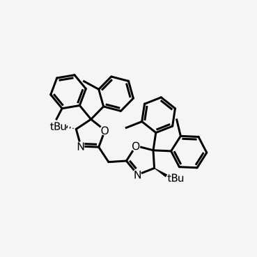 Cc1ccccc1C1(c2ccccc2C)OC(CC2=N[C@H](C(C)(C)C)C(c3ccccc3C)(c3ccccc3C)O2)=N[C@@H]1C(C)(C)C